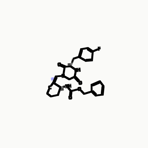 O=C1CN(/C=C2/CCCC[C@H]2NC(=O)OCc2ccccc2)C(=O)[C@H](Cc2ccc(F)cc2)N1